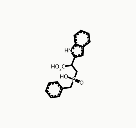 O=C(O)C(CP(=O)(O)Cc1ccccc1)c1cc2ccccc2[nH]1